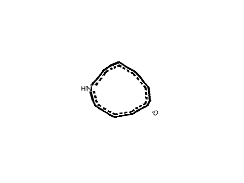 [O].c1cccc[nH]ccc1